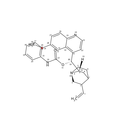 C=CC1C[N@@]2CCC1C[C@H]2[C@H](OC(=O)Nc1ccccc1)c1ccnc2ccc(OC)cc12